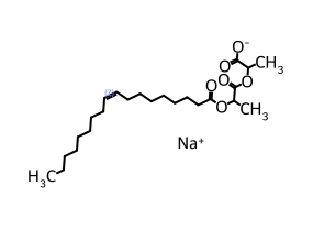 CCCCCCCC/C=C\CCCCCCCC(=O)OC(C)C(=O)OC(C)C(=O)[O-].[Na+]